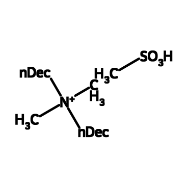 CCCCCCCCCC[N+](C)(C)CCCCCCCCCC.CS(=O)(=O)O